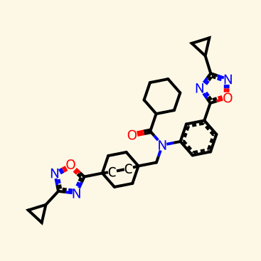 O=C(C1CCCCC1)N(CC12CCC(c3nc(C4CC4)no3)(CC1)CC2)c1cccc(-c2nc(C3CC3)no2)c1